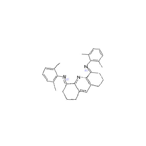 Cc1cccc(C)c1/N=C1\CCCc2cc3c(nc21)/C(=N/c1c(C)cccc1C)CCC3